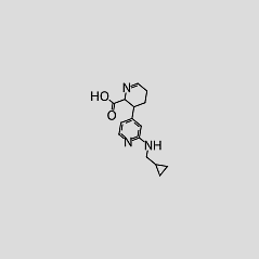 O=C(O)C1N=CCCC1c1ccnc(NCC2CC2)c1